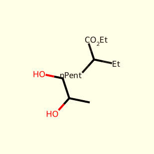 CC(O)CO.CCCCCC(CC)C(=O)OCC